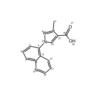 Cc1nn(-c2cccc3ncccc23)cc1C(=O)O